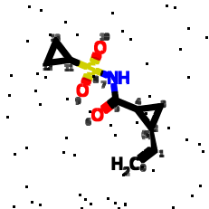 C=C[C@@H]1CC1C(=O)NS(=O)(=O)C1CC1